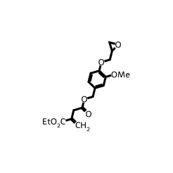 C=C(CC(=O)OCc1ccc(OCC2CO2)c(OC)c1)C(=O)OCC